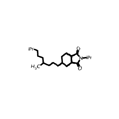 CC(C)CCCC(C)CCCC1CCC2C(=O)N(C(C)C)C(=O)C2C1